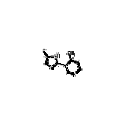 Cc1ccncc1-c1ncc(I)[nH]1